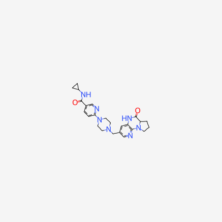 O=C(NC1CC1)c1ccc(N2CCN(Cc3cnc4c(c3)NC(=O)C3CCCN43)CC2)nc1